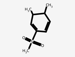 CC1C=CC(S(C)(=O)=O)=CC1C